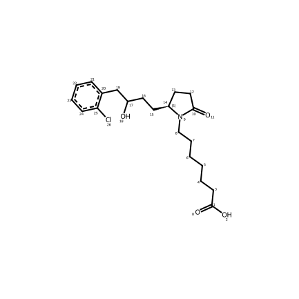 O=C(O)CCCCCCN1C(=O)CC[C@@H]1CCC(O)Cc1ccccc1Cl